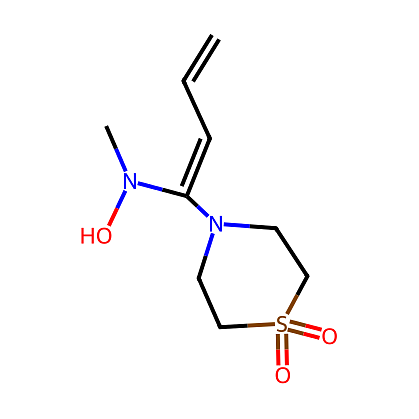 C=C/C=C(\N(C)O)N1CCS(=O)(=O)CC1